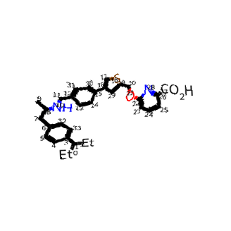 CCC(CC)c1ccc(CC(C)NCc2ccc(-c3csc(COc4cccc(C(=O)O)n4)c3)cc2)cc1